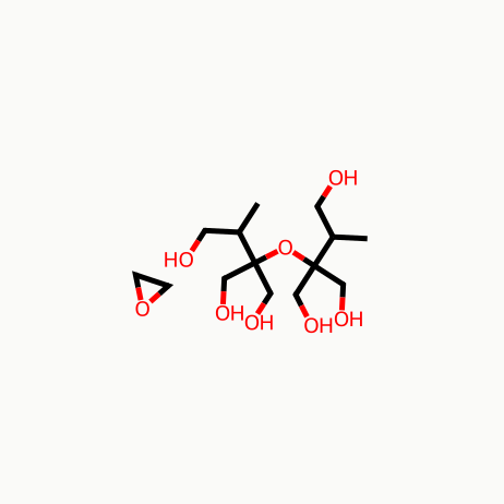 C1CO1.CC(CO)C(CO)(CO)OC(CO)(CO)C(C)CO